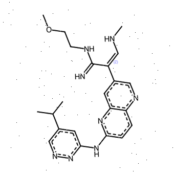 CN/C=C(\C(=N)NCCOC)c1cnc2ccc(Nc3cc(C(C)C)cnn3)nc2c1